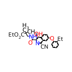 CCOC(=O)C(C)(C)CNC(=O)c1nc(C#N)c2cc(Oc3ccccc3CC)ccc2c1O